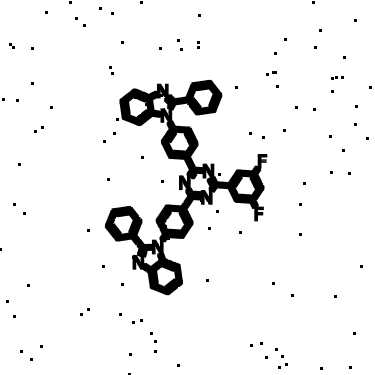 Fc1cc(F)cc(-c2nc(-c3ccc(-n4c(-c5ccccc5)nc5ccccc54)cc3)nc(-c3ccc(-n4c(-c5ccccc5)nc5ccccc54)cc3)n2)c1